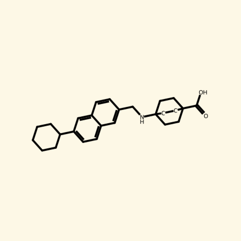 O=C(O)C12CCC(NCc3ccc4cc(C5CCCCC5)ccc4c3)(CC1)CC2